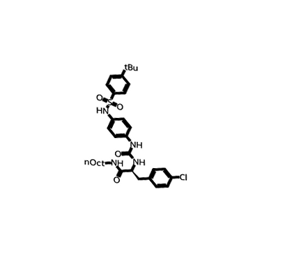 CCCCCCCCNC(=O)[C@H](Cc1ccc(Cl)cc1)NC(=O)Nc1ccc(NS(=O)(=O)c2ccc(C(C)(C)C)cc2)cc1